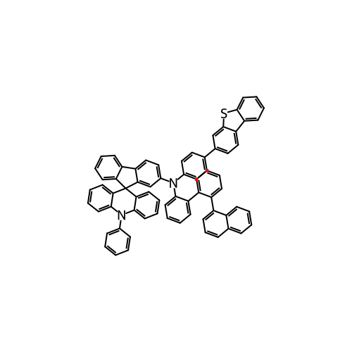 c1ccc(N2c3ccccc3C3(c4ccccc4-c4ccc(N(c5ccc(-c6ccc7c(c6)sc6ccccc67)cc5)c5ccccc5-c5ccccc5-c5cccc6ccccc56)cc43)c3ccccc32)cc1